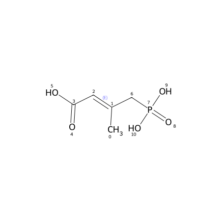 C/C(=C\C(=O)O)CP(=O)(O)O